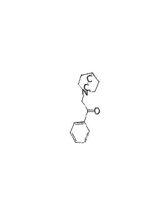 O=C(C[N+]12CCC(CC1)CC2)c1ccccc1